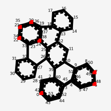 c1ccc(-c2ccccc2-c2cc3c4ccccc4c4ccccc4c3c(-c3ccccc3-c3ccccc3)c2-c2ccccc2-c2ccccc2)cc1